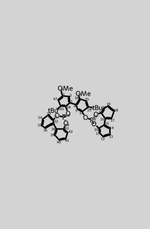 COc1cc(-c2cc(Op3oc4ccccc4c4ccccc4o3)c(C(C)(C)C)cc2OC)c(Op2oc3ccccc3c3ccccc3o2)c(C(C)(C)C)c1